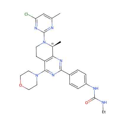 CCNC(=O)Nc1ccc(-c2nc3c(c(N4CCOCC4)n2)CCN(c2nc(C)cc(Cl)n2)[C@H]3C)cc1